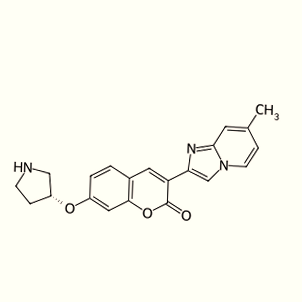 Cc1ccn2cc(-c3cc4ccc(O[C@@H]5CCNC5)cc4oc3=O)nc2c1